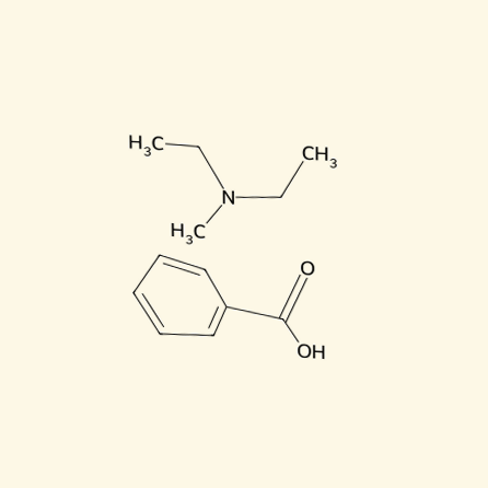 CCN(C)CC.O=C(O)c1ccccc1